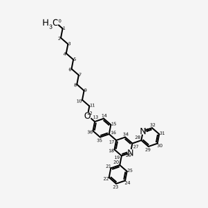 CCCCCCCCCCCCOc1ccc(-c2cc(-c3ccccc3)nc(-c3ccccn3)c2)cc1